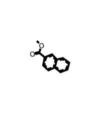 COC(=O)c1ccc2ccccc2c1